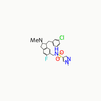 CNC1Cc2cc(F)c(CNS(=O)(=O)c3cnn(C)c3)cc2C1Cc1cccc(Cl)c1